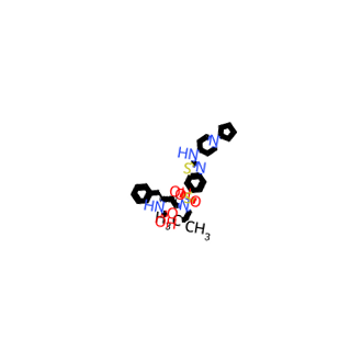 CC(C)CN(C[C@@H](O)[C@H](Cc1ccccc1)NC(=O)O)S(=O)(=O)c1ccc2nc(NC3CCN(C4CCCC4)CC3)sc2c1